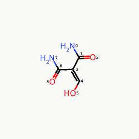 NC(=O)C(=CO)C(N)=O